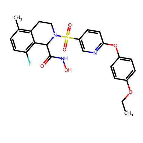 CCOc1ccc(Oc2ccc(S(=O)(=O)N3CCc4c(C)ccc(F)c4C3C(=O)NO)cn2)cc1